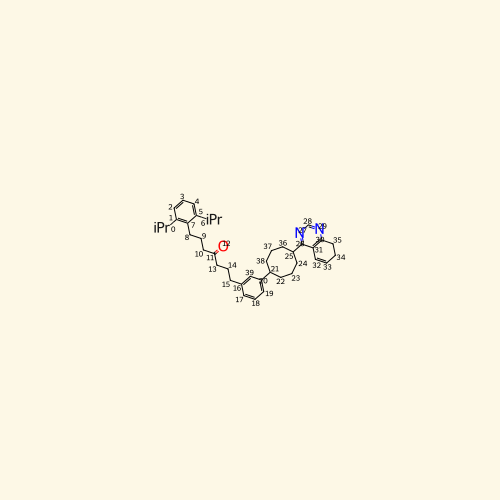 CC(C)c1cccc(C(C)C)c1CCCC(=O)CCCc1cccc(C2CCCC(c3ncnc4c3C=CCC4)CCC2)c1